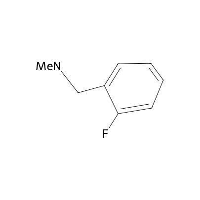 [CH2]NCc1ccccc1F